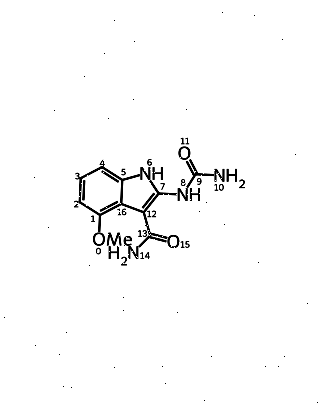 COc1cccc2[nH]c(NC(N)=O)c(C(N)=O)c12